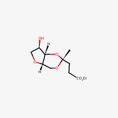 CCOC(=O)CC[C@]1(C)OC[C@@H]2OC[C@@H](O)[C@@H]2O1